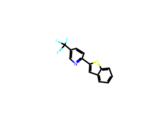 FC(F)(F)c1ccc(-c2cc3ccccc3s2)nc1